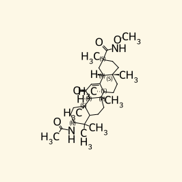 CONC(=O)[C@@]1(C)CC[C@]2(C)CC[C@]3(C)C(=CC(=O)[C@@H]4[C@@]5(C)CC[C@@H](NC(C)=O)C(C)(C)C5CC[C@]43C)[C@@H]2C1